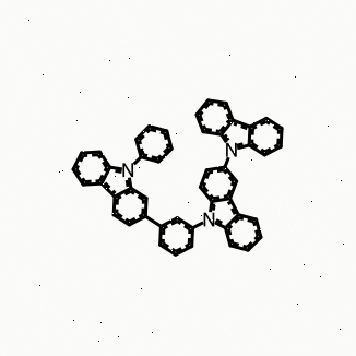 c1ccc(-n2c3ccccc3c3ccc(-c4cccc(-n5c6ccccc6c6cc(-n7c8ccccc8c8ccccc87)ccc65)c4)cc32)cc1